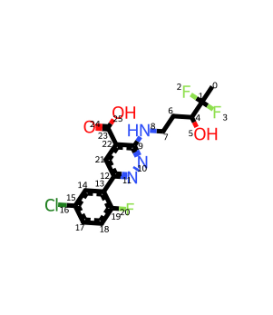 CC(F)(F)C(O)CCNc1nnc(-c2cc(Cl)ccc2F)cc1C(=O)O